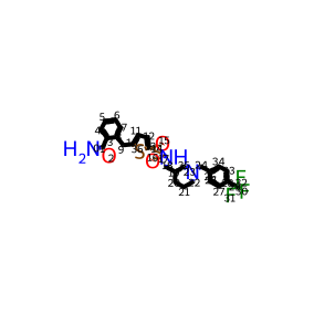 NC(=O)c1ccccc1Cc1ccc(S(=O)(=O)NCC2CCCN(Cc3ccc(C(F)(F)F)cc3)C2)s1